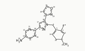 CC1C=C(F)C(Cn2nc(-c3ncc(N)cn3)cc2-c2ccon2)=CC1